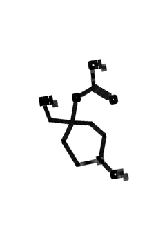 CC(=O)OC1(CN)CCN(C)CC1